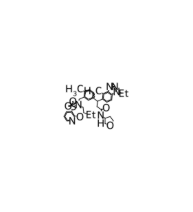 CC[C@@H]1CN(Cc2cc(C(CC(=O)NC3CCOC3)c3ccc4c(nnn4CC)c3C)ccc2C)S(=O)(=O)c2cccnc2O1